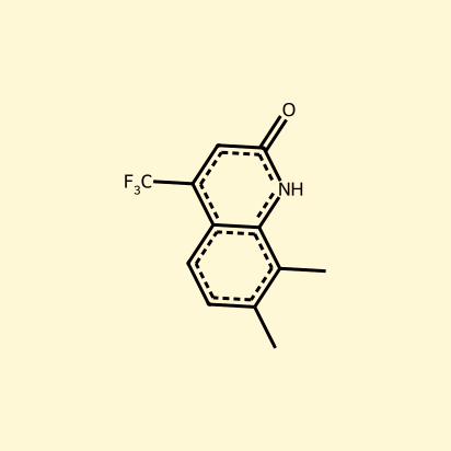 Cc1ccc2c(C(F)(F)F)cc(=O)[nH]c2c1C